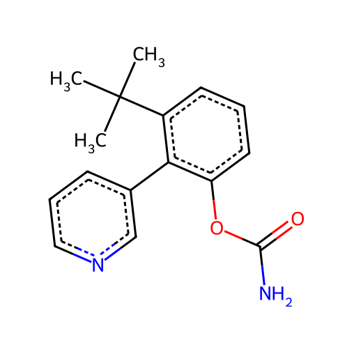 CC(C)(C)c1cccc(OC(N)=O)c1-c1cccnc1